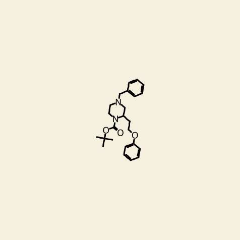 CC(C)(C)OC(=O)N1CCN(Cc2ccccc2)CC1CCOc1ccccc1